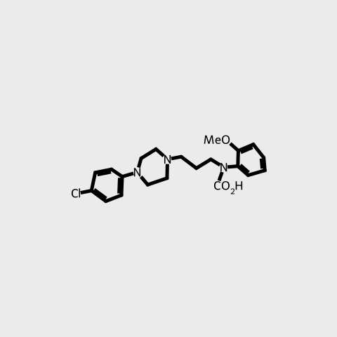 COc1ccccc1N(CCCN1CCN(c2ccc(Cl)cc2)CC1)C(=O)O